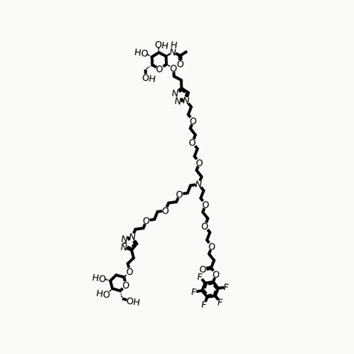 CC(=O)N[C@H]1[C@H](OCCc2cn(CCOCCOCCOCCN(CCOCCOCCOCCC(=O)Oc3c(F)c(F)c(F)c(F)c3F)CCOCCOCCOCCn3cc(CCO[C@H]4C[C@@H](O)[C@@H](O)[C@@H](CO)O4)nn3)nn2)O[C@H](CO)[C@H](O)[C@@H]1O